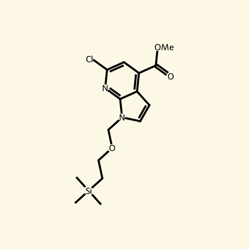 COC(=O)c1cc(Cl)nc2c1ccn2COCC[Si](C)(C)C